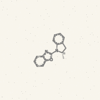 C[C@H]1Cc2ccccc2N1c1nc2ccccc2o1